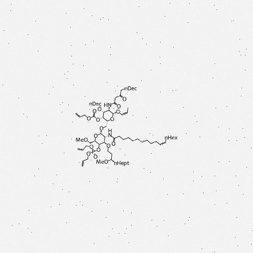 C=CCOC(=O)O[C@@H]1[C@H](OCCCCCCCCCC)[C@@H](NC(=O)CC(=O)CCCCCCCCCCC)[C@@H](O/C=C\C)O[C@@H]1CO[C@@H]1O[C@H](COC)[C@H](OP(=O)(OCC=C)OCC=C)[C@H](OCC[C@@H](CCCCCCC)OC)[C@H]1NC(=O)CCCCCCCCC/C=C\CCCCCC